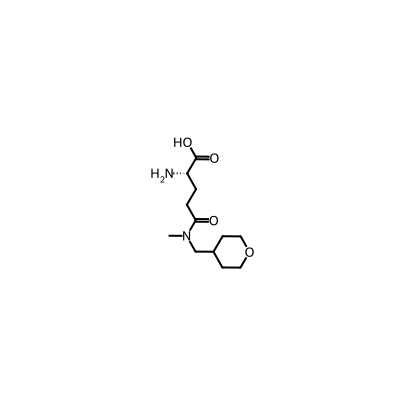 CN(CC1CCOCC1)C(=O)CC[C@H](N)C(=O)O